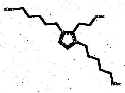 CCCCCCCCCCCCCCCn1cc[n+](CCCCCCCCCCCCCCC)c1CCCCCCCCCCCC